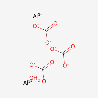 O.O=C([O-])[O-].O=C([O-])[O-].O=C([O-])[O-].[Al+3].[Al+3]